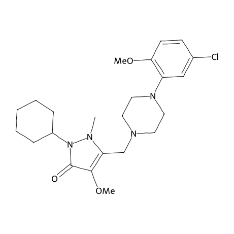 COc1ccc(Cl)cc1N1CCN(Cc2c(OC)c(=O)n(C3CCCCC3)n2C)CC1